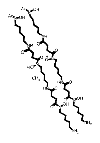 C.CC(=O)N(O)CCCCCNC(=O)CCC(=O)N(O)CCCCCNC(=O)CCC(=O)N(O)CCCCCN.CC(=O)N(O)CCCCCNC(=O)CCC(=O)N(O)CCCCCNC(=O)CCC(=O)N(O)CCCCCN